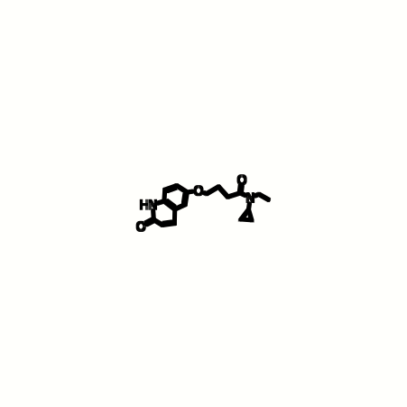 CCN(C(=O)CCCOc1ccc2[nH]c(=O)ccc2c1)C1CC1